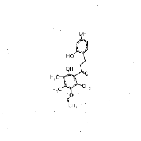 CCOc1c(C)c(C)c(O)c(C(=O)CCc2ccc(O)cc2O)c1C